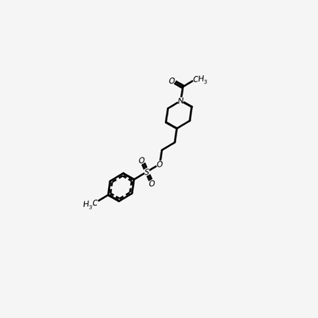 CC(=O)N1CCC(CCOS(=O)(=O)c2ccc(C)cc2)CC1